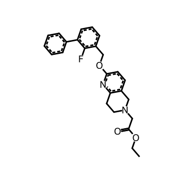 CCOC(=O)CN1CCc2nc(OCc3cccc(-c4ccccc4)c3F)ccc2C1